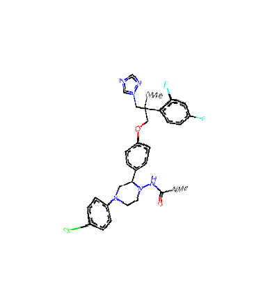 CNC(=O)NN1CCN(c2ccc(Cl)cc2)CC1c1ccc(OCC(Cn2cncn2)(OC)c2ccc(F)cc2F)cc1